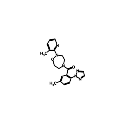 Cc1ccc(-n2nccn2)c(C(=O)N2CCON(c3ncccc3C)CC2)c1